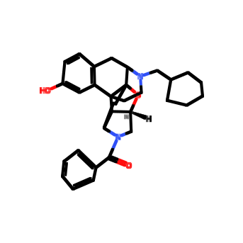 O=C(c1ccccc1)N1C[C@H]2OC34CCC1C2C31CCN(CC2CCCCC2)C4Cc2ccc(O)cc21